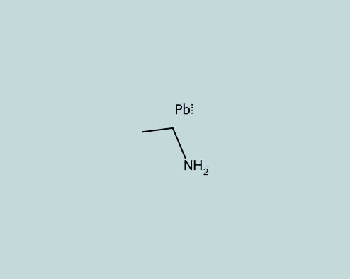 CCN.[Pb]